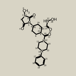 CN1CC(=O)N([C@@H]2CC[C@H](C(=O)N3CCN(c4ccccc4)CC3)[C@@H](C(=O)NO)C2)C1=O